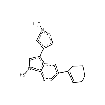 Cn1cc(-c2cn(S)c3ncc(C4=CCCCC4)cc23)cn1